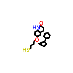 O=C1CCc2cc(OCCCCS)ccc2N1.c1ccc(-c2ccc3cc2-3)cc1